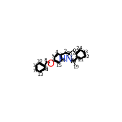 C[C@H](Cc1ccc(OCc2ccccc2)cc1)N[C@H](C)c1ccccc1